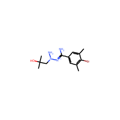 Cc1cc(/C(N)=N/N(N)CC(C)(C)O)cc(C)c1Br